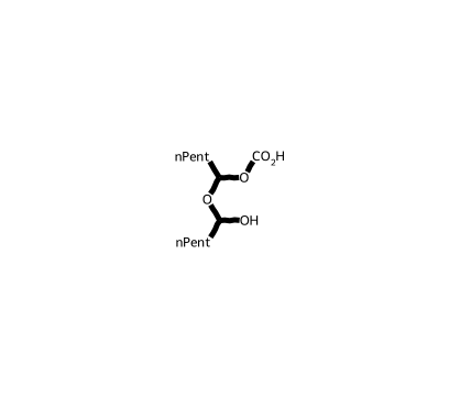 CCCCCC(O)OC(CCCCC)OC(=O)O